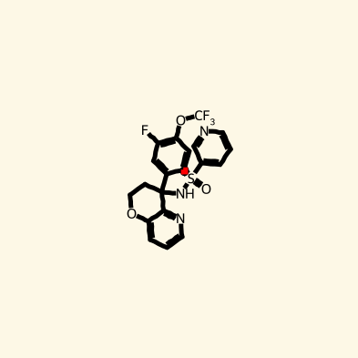 O=S(=O)(NC1(c2ccc(OC(F)(F)F)c(F)c2)CCOc2cccnc21)c1cccnc1